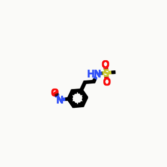 CS(=O)(=O)NCCc1cccc(N=O)c1